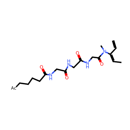 C=C/C(=C\C)N(C)C(=O)CNC(=O)CNC(=O)CNC(=O)CCCCC(C)=O